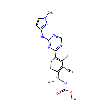 Cc1c([C@@H](C)NC(=O)OC(C)(C)C)ccc(-c2ncnc(Nc3ccn(C)n3)n2)c1F